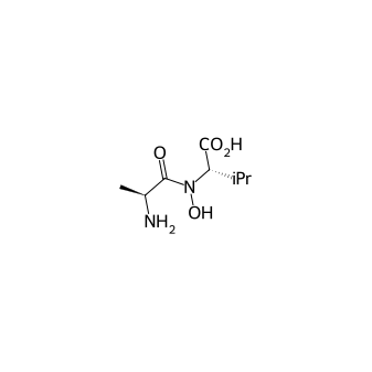 CC(C)[C@@H](C(=O)O)N(O)C(=O)[C@H](C)N